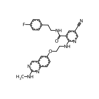 CNc1ncc2cc(OCCNc3ncc(C#N)cc3C(=O)NCCc3ccc(F)cc3)ccc2n1